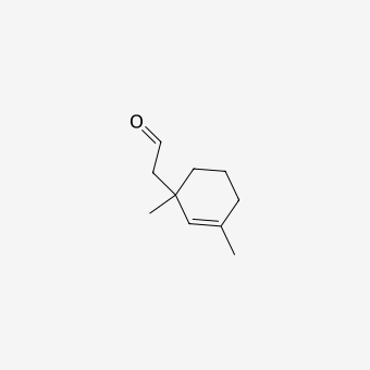 CC1=CC(C)(CC=O)CCC1